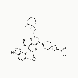 C=CC(=O)N1CC2(CCN(c3nc(N4CC5(CCCCN5C)C4)nc4c(OCC)c(-c5c(C)ccc6[nH]ncc56)c(C5CC5)cc34)CC2)C1